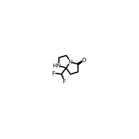 O=C1CCC2(C(F)F)NCCN12